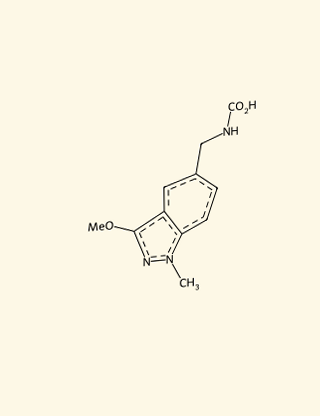 COc1nn(C)c2ccc(CNC(=O)O)cc12